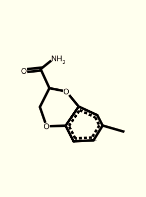 Cc1[c]cc2c(c1)OC(C(N)=O)CO2